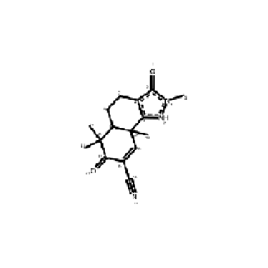 Cn1[nH]c2c(c1=O)CCC1C(C)(C)C(=O)C(C#N)=CC21C